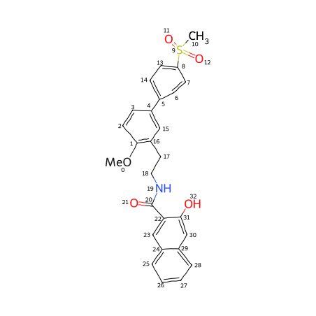 COc1ccc(-c2ccc(S(C)(=O)=O)cc2)cc1CCNC(=O)c1cc2ccccc2cc1O